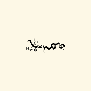 CC(C)(CC#N)C(=O)OCOC(=O)/C=C/c1ccc(Cn2ccnc2)cc1